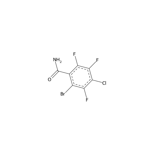 NC(=O)c1c(F)c(F)c(Cl)c(F)c1Br